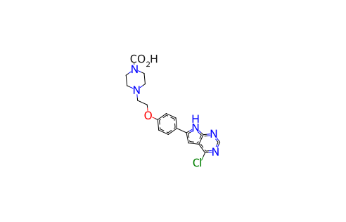 O=C(O)N1CCN(CCOc2ccc(-c3cc4c(Cl)ncnc4[nH]3)cc2)CC1